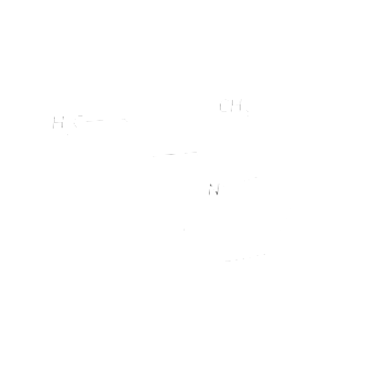 CCCC(C)N1CCCCC1